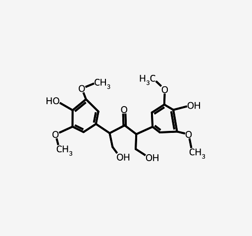 COc1cc(C(CO)C(=O)C(CO)c2cc(OC)c(O)c(OC)c2)cc(OC)c1O